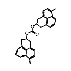 Cc1ccc2c3c(cccc13)CC(OC(=O)OC1Cc3cccc4c(C)ccc(c34)C1)C2